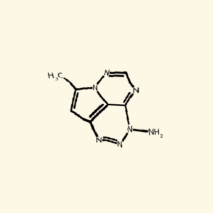 Cc1cc2c3c(ncnn13)N(N)N=N2